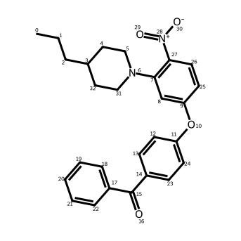 CCCC1CCN(c2cc(Oc3ccc(C(=O)c4ccccc4)cc3)ccc2[N+](=O)[O-])CC1